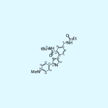 CCC(=O)NCc1ccc(-c2cnc(-c3ccc(NC)cc3)s2)c([S+]([O-])NC(C)(C)C)c1